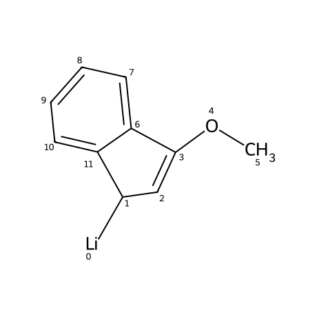 [Li][CH]1C=C(OC)c2ccccc21